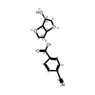 N#Cc1ccc(C(=O)O[C@@H]2COC3C2OC[C@@H]3O)cc1